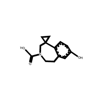 O=C(O)N1CCc2cc(O)ccc2C2(CC2)C1